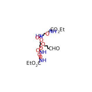 CCOC(=O)NCOCCNC(=O)OCC(COC(=O)NOOCNC(=O)OCC)OCCCC=O